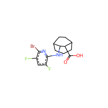 O=C(O)C1C2CCCC(CC2)C1Nc1nc(Br)c(F)cc1F